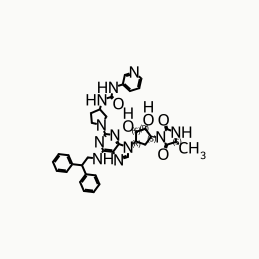 C[C@@H]1NC(=O)N([C@H]2C[C@@H](n3cnc4c(NCC(c5ccccc5)c5ccccc5)nc(N5CCC(NC(=O)Nc6cccnc6)C5)nc43)[C@H](O)[C@@H]2O)C1=O